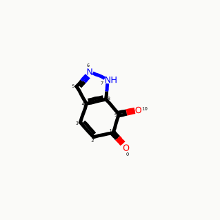 O=C1C=Cc2cn[nH]c2C1=O